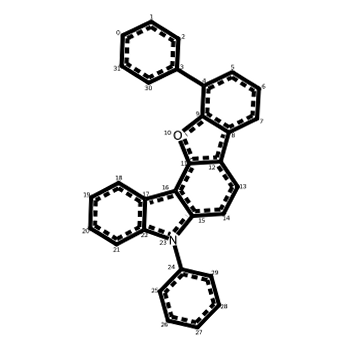 c1ccc(-c2cccc3c2oc2c3ccc3c2c2ccccc2n3-c2ccccc2)cc1